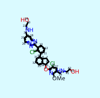 COc1nc(OC2CCc3c(-c4cccc(-c5nc6cc(CNCCO)ccn6n5)c4Cl)cccc32)c(Cl)cc1CNCCO